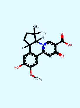 COc1cc2c(cc1O)[C@@H]1CCC(C)(C)[C@@H]1n1cc(C(=O)O)c(=O)cc1-2